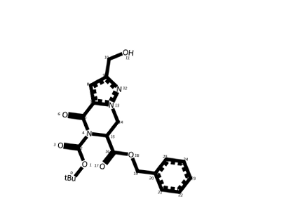 CC(C)(C)OC(=O)N1C(=O)c2cc(CO)nn2CC1C(=O)OCc1ccccc1